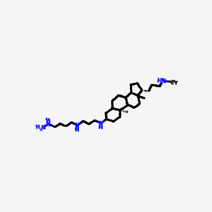 CC(C)NCCC[C@H]1CCC2C3CCC4CC(NCCCNCCCCNN)CC[C@]4(C)C3CCC21C